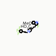 COc1ccc2ncc(F)c(CCCC3(CC(=O)O)CCN(CC#Cc4cc(F)c(F)c(F)c4)CC3)c2c1